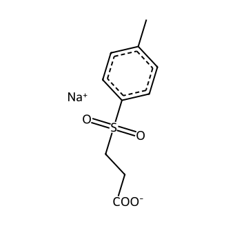 Cc1ccc(S(=O)(=O)CCC(=O)[O-])cc1.[Na+]